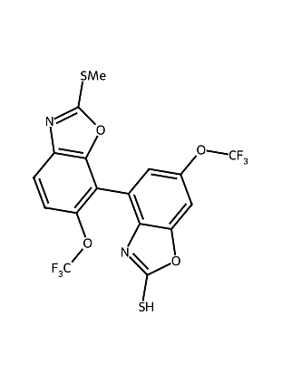 CSc1nc2ccc(OC(F)(F)F)c(-c3cc(OC(F)(F)F)cc4oc(S)nc34)c2o1